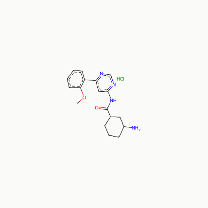 COc1ccccc1-c1cc(NC(=O)C2CCCC(N)C2)ncn1.Cl